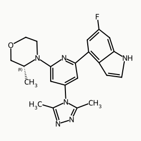 Cc1nnc(C)n1-c1cc(-c2cc(F)cc3[nH]ccc23)nc(N2CCOC[C@H]2C)c1